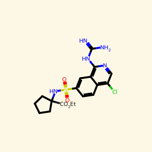 CCOC(=O)C1(NS(=O)(=O)c2ccc3c(Cl)cnc(NC(=N)N)c3c2)CCCC1